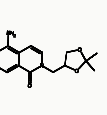 CC1(C)OCC(Cn2ccc3c(N)cccc3c2=O)O1